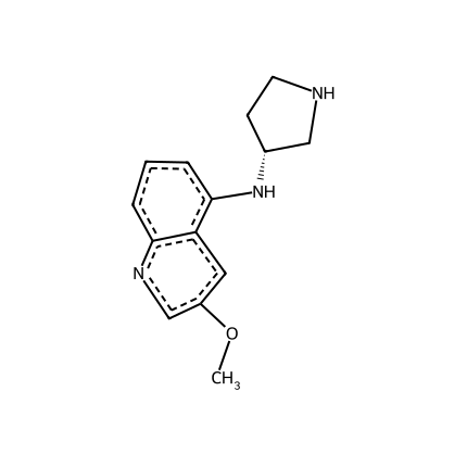 COc1cnc2cccc(N[C@@H]3CCNC3)c2c1